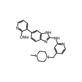 COc1ncccc1-c1ccc2nc(Nc3cc(CN4CCN(C)CC4)ccn3)[nH]c2c1